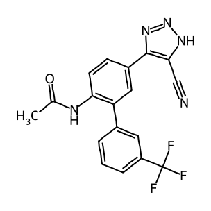 CC(=O)Nc1ccc(-c2nn[nH]c2C#N)cc1-c1cccc(C(F)(F)F)c1